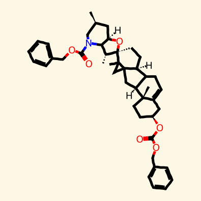 C[C@H]1C[C@H]2O[C@]3(CC[C@H]4C5CC=C6C[C@@H](OC(=O)OCc7ccccc7)CC[C@]6(C)[C@H]5CC45CC53C)[C@H](C)C2N(C(=O)OCc2ccccc2)C1